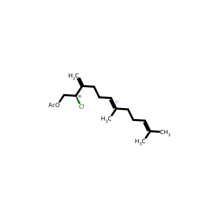 C=C(CC/C=C(\C)CCC=C(C)C)[C@@H](Cl)COC(C)=O